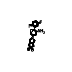 N[C@H]1C[C@@H](N2CC3CS(=O)(=O)CC3C2)CO[C@@H]1c1cc(F)ccc1F